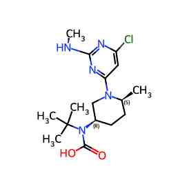 CNc1nc(Cl)cc(N2C[C@H](N(C(=O)O)C(C)(C)C)CC[C@@H]2C)n1